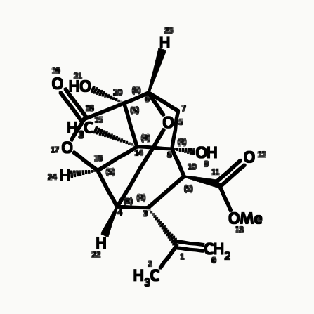 C=C(C)[C@@H]1[C@H]2O[C@H]3C[C@@](O)([C@H]1C(=O)OC)[C@@]1(C)[C@@H]2OC(=O)[C@@]31O